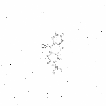 CCN(c1ccccc1)c1ccc(N(C)C)cc1C